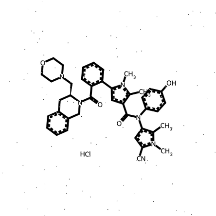 Cc1c(N(C(=O)c2cc(-c3ccccc3C(=O)N3Cc4ccccc4C[C@H]3CN3CCOCC3)n(C)c2C)c2ccc(O)cc2)cc(C#N)n1C.Cl